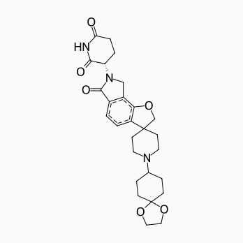 O=C1CC[C@H](N2Cc3c(ccc4c3OCC43CCN(C4CCC5(CC4)OCCO5)CC3)C2=O)C(=O)N1